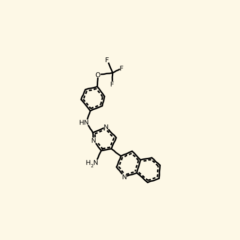 Nc1nc(Nc2ccc(OC(F)(F)F)cc2)ncc1-c1cnc2ccccc2c1